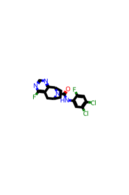 O=C(Nc1cc(Cl)c(Cl)cc1F)N1C2CCC1c1ncnc(F)c1C2